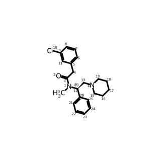 CN(C(=O)Cc1cccc(Cl)c1)[C@@H](CN1CCCCC1)c1ccccc1